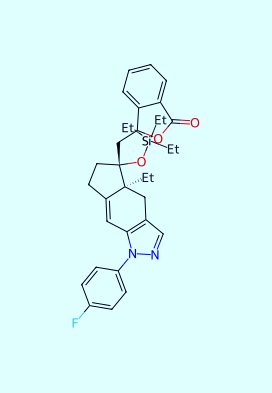 CC[C@]12Cc3cnn(-c4ccc(F)cc4)c3C=C1CC[C@]2(CC1OC(=O)c2ccccc21)O[Si](CC)(CC)CC